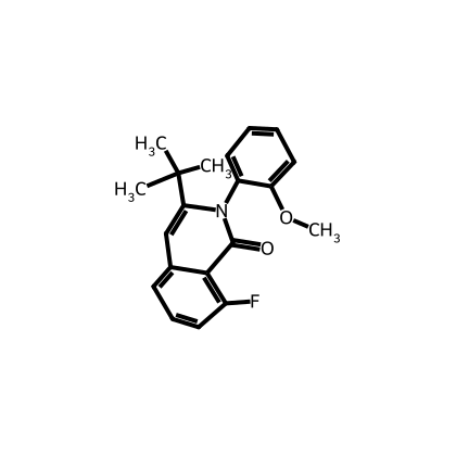 COc1ccccc1-n1c(C(C)(C)C)cc2cccc(F)c2c1=O